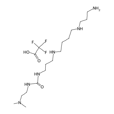 CN(C)CCNC(=O)NCCCNCCCCNCCCN.O=C(O)C(F)(F)F